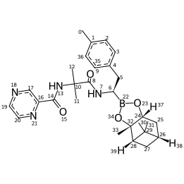 Cc1ccc(C[C@H](NC(=O)C(C)(C)NC(=O)c2cnccn2)B2O[C@@H]3C[C@@H]4C[C@@H](C4(C)C)[C@]3(C)O2)cc1